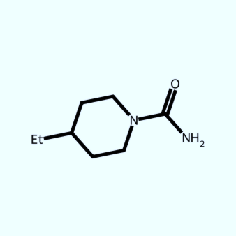 CCC1CCN(C(N)=O)CC1